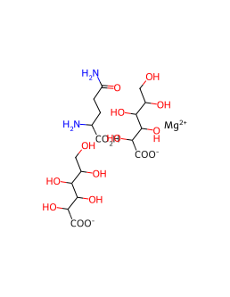 NC(=O)CCC(N)C(=O)O.O=C([O-])C(O)C(O)C(O)C(O)CO.O=C([O-])C(O)C(O)C(O)C(O)CO.[Mg+2]